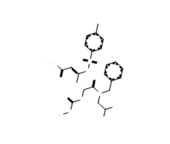 COC(=O)/C=C(\C[C@@H](NC(=O)OC(C)(C)C)C(=O)N(Cc1ccccc1)CC(OC)OC)OS(=O)(=O)c1ccc(C)cc1